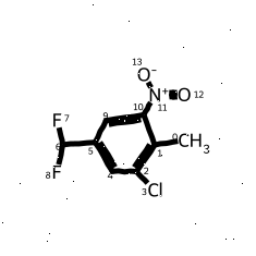 Cc1c(Cl)cc(C(F)F)cc1[N+](=O)[O-]